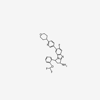 NC1CC(c2ccccc2OC(F)F)n2c1nc1cc(F)c(-c3ccc(C4CCOCC4)nc3)cc12